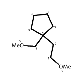 COCCC1(COC)CCCC1